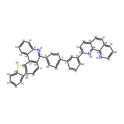 c1cc(-c2ccc(-c3nc4ccccc4c4c3ccc3c5ccccc5sc34)cc2)cc(-c2ccc3ccc4cccnc4c3n2)c1